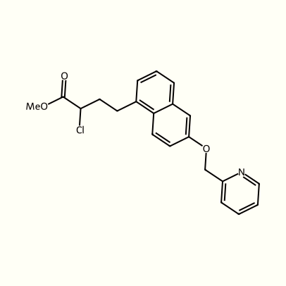 COC(=O)C(Cl)CCc1cccc2cc(OCc3ccccn3)ccc12